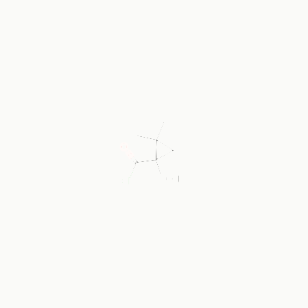 CCOC(=O)C1(C(=O)Cl)CC1(C)C